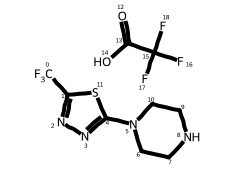 FC(F)(F)c1nnc(N2CCNCC2)s1.O=C(O)C(F)(F)F